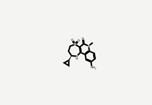 Cn1c(=O)c2c(c3cc(N)ccc31)N[C@@H](C1CC1)CCS2(=O)=O